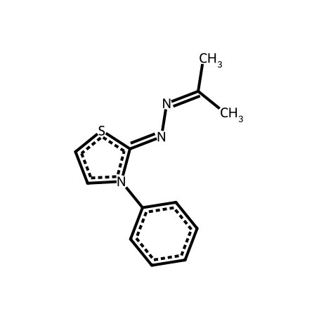 CC(C)=N/N=c1\sccn1-c1ccccc1